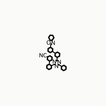 N#Cc1cccc(-c2ccccc2-c2nc(-c3ccccc3)nc(-c3cccc(-c4cccc(-c5nc6ccccc6o5)c4)c3)n2)c1